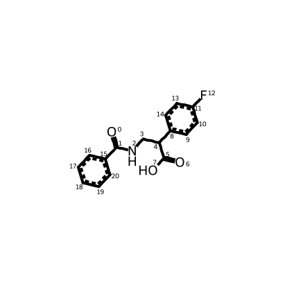 O=C(NCC(C(=O)O)c1ccc(F)cc1)c1ccccc1